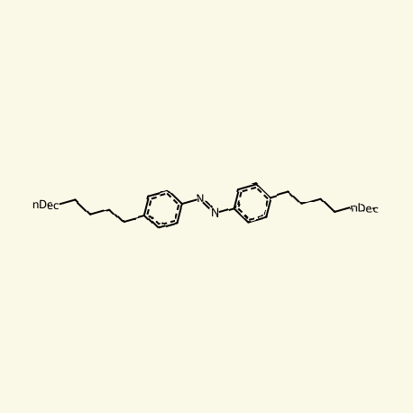 CCCCCCCCCCCCCCc1ccc(N=Nc2ccc(CCCCCCCCCCCCCC)cc2)cc1